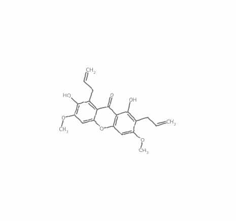 C=CCc1c(OC)cc2oc3cc(OC)c(O)c(CC=C)c3c(=O)c2c1O